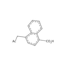 CC(=O)Cc1ccc(C(=O)O)c2ccccc12